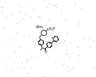 CN(C(=O)c1ccc(-c2ccccn2)cc1)c1ccc(CN2CCN(C(=O)O)[C@@H](CC(C)(C)C)C2)cc1